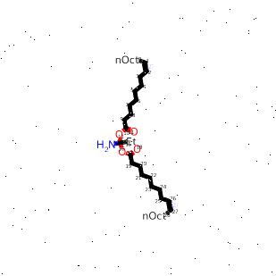 CCCCCCCC/C=C\CCCCCCCC(=O)OC(N)(CC)OC(=O)CCCCCCC/C=C\CCCCCCCC